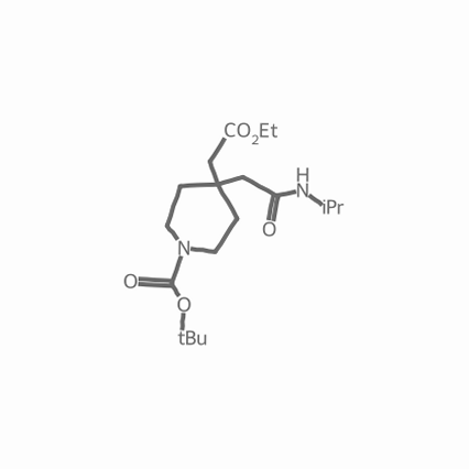 CCOC(=O)CC1(CC(=O)NC(C)C)CCN(C(=O)OC(C)(C)C)CC1